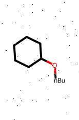 CC[CH]COC1CCCCC1